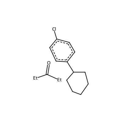 CCC(=O)CC.Clc1ccc(C2CCCCC2)cc1